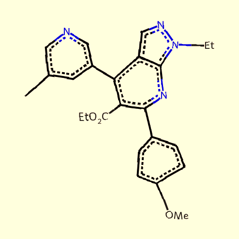 CCOC(=O)c1c(-c2ccc(OC)cc2)nc2c(cnn2CC)c1-c1cncc(C)c1